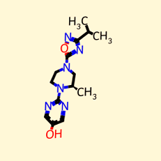 CC(C)c1noc(N2CCN(c3ncc(O)cn3)[C@H](C)C2)n1